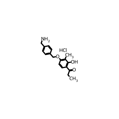 CCC(=O)c1ccc(OCc2ccc(CN)cc2)c(C)c1O.Cl